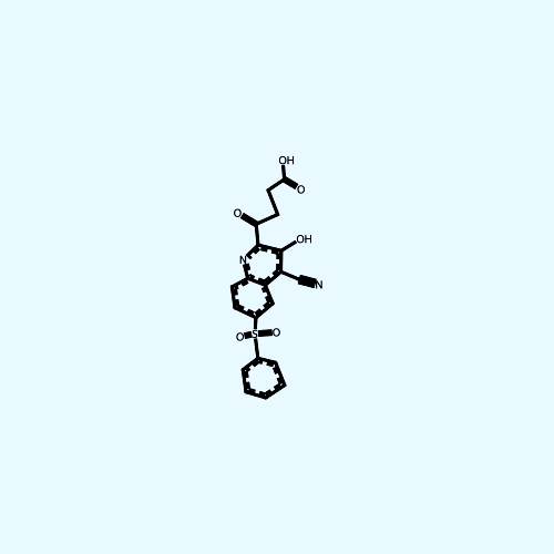 N#Cc1c(O)c(C(=O)CCC(=O)O)nc2ccc(S(=O)(=O)c3ccccc3)cc12